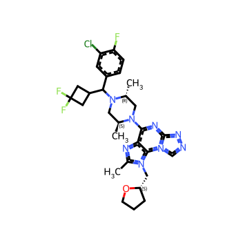 Cc1nc2c(N3C[C@@H](C)N(C(c4ccc(F)c(Cl)c4)C4CC(F)(F)C4)C[C@@H]3C)nc3nncn3c2n1C[C@@H]1CCCO1